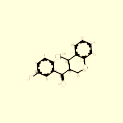 O=C(c1cccc(F)c1)C1COc2ccccc2C1Cl